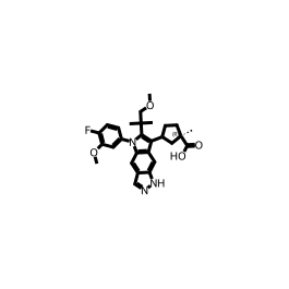 COCC(C)(C)c1c(C2CC[C@@](C)(C(=O)O)C2)c2cc3[nH]ncc3cc2n1-c1ccc(F)c(OC)c1